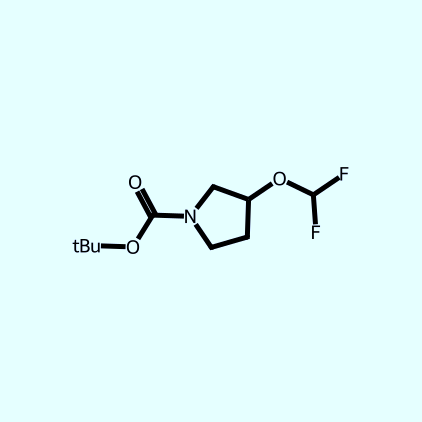 CC(C)(C)OC(=O)N1CCC(OC(F)F)C1